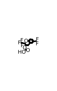 O=C(O)OC1=Cc2cc(C(F)F)ccc2OC1C(F)(F)F